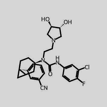 N#Cc1cccc([C@]23CC[C@@H](N(CCN4C[C@@H](O)[C@H](O)C4)C(=O)Nc4ccc(F)c(Cl)c4)CC2C3)c1